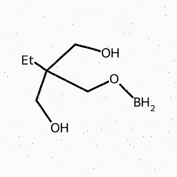 BOCC(CC)(CO)CO